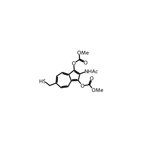 COC(=O)Oc1c2ccc(CS)ccc-2c(OC(=O)OC)c1NC(C)=O